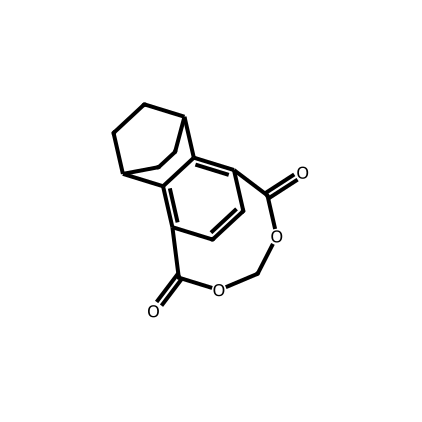 O=C1OCOC(=O)c2ccc1c1c2C2CCC1CC2